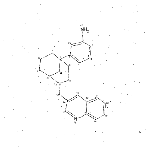 Nc1cccc(C23CCCC(C2)N(Cc2cnc4ccccc4c2)CC3)c1